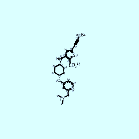 CN(C)Cc1cc(O[C@H]2CC[C@H](Nc3cc(C#CC(C)(C)C)sc3C(=O)O)CC2)ccn1